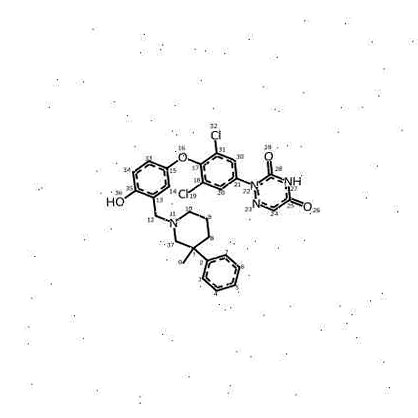 CC1(c2ccccc2)CCCN(Cc2cc(Oc3c(Cl)cc(-n4ncc(=O)[nH]c4=O)cc3Cl)ccc2O)C1